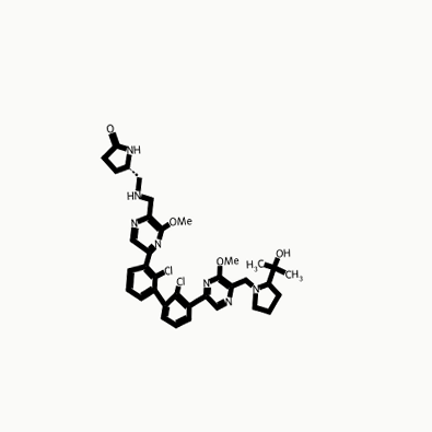 COc1nc(-c2cccc(-c3cccc(-c4cnc(CN5CCCC5C(C)(C)O)c(OC)n4)c3Cl)c2Cl)cnc1CNC[C@@H]1CCC(=O)N1